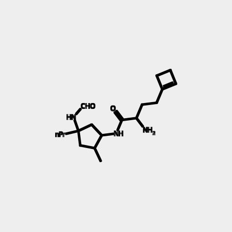 CCCC1(NC=O)CC(C)C(NC(=O)C(N)CCC2=CCC2)C1